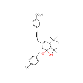 CC1(C)CCC(C)(C)C2=C1C=C(CC#Cc1ccc(C(=O)O)cc1)CC2(O)OCc1ccc(C(F)(F)F)cc1